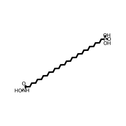 O=C(CCCCCCCCCCCCCCCCCCCCCCCCCCP(=O)(O)O)NO